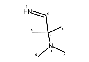 CN(C)C(C)(C)C=N